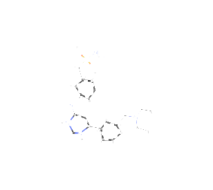 CCN(CC)Cc1cccc(-c2cc(Nc3cccc(CS(N)(=O)=O)c3)ncn2)c1